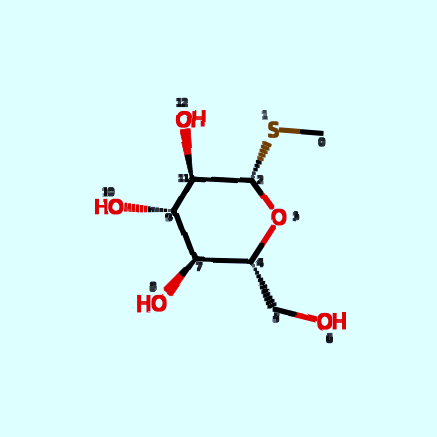 CS[C@@H]1O[C@H](CO)[C@@H](O)[C@H](O)[C@H]1O